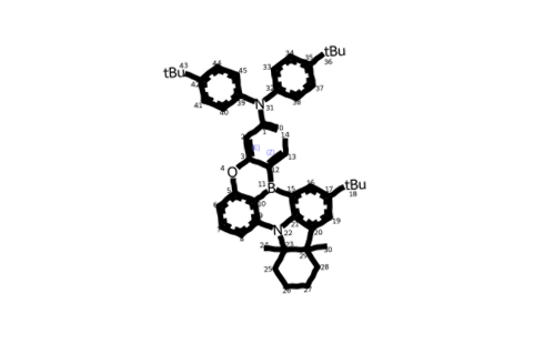 C=C(/C=C1/Oc2cccc3c2B(/C1=C/C)c1cc(C(C)(C)C)cc2c1N3C1(C)CCCCC21C)N(c1ccc(C(C)(C)C)cc1)c1ccc(C(C)(C)C)cc1